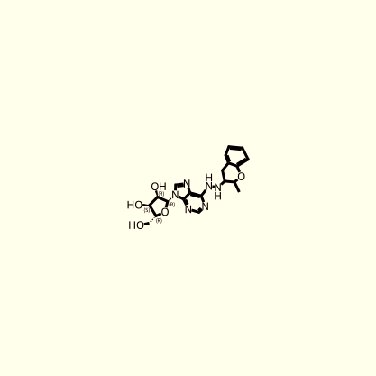 CC1Oc2ccccc2CC1NNc1ncnc2c1ncn2[C@@H]1O[C@H](CO)[C@@H](O)[C@H]1O